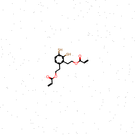 C=CC(=O)OCCc1ccc(S)c(S)c1CCOC(=O)C=C